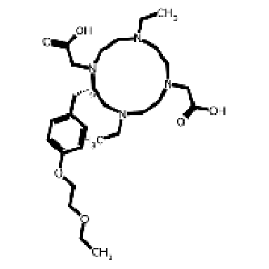 CCOCCOc1ccc(C[C@H]2CN(CC)CCN(CC(=O)O)CCN(CC)CCN2CC(=O)O)cc1